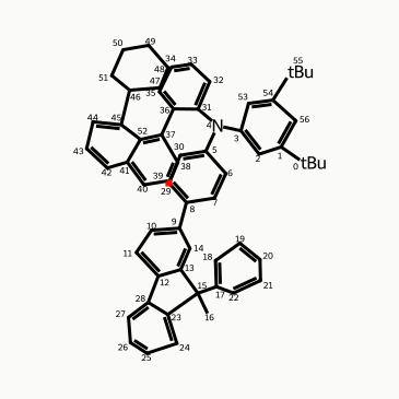 CC(C)(C)c1cc(N(c2ccc(-c3ccc4c(c3)C(C)(c3ccccc3)c3ccccc3-4)cc2)c2ccccc2-c2cccc3cccc(C4CCCCC4)c23)cc(C(C)(C)C)c1